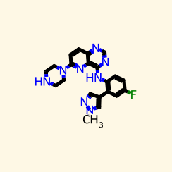 Cn1cc(-c2cc(F)ccc2Nc2ncnc3ccc(N4CCNCC4)nc23)cn1